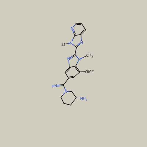 CCn1c(-c2nc3cc(C(=N)N4CCC[C@@H](N)C4)cc(OC)c3n2C)nc2cccnc21